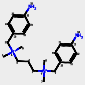 C[N+](C)(CCC[N+](C)(C)Cc1ccc(N)cc1)Cc1ccc(N)cc1